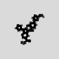 CC(=O)N1CCc2c(c(Nc3ccc(-c4cnc(C)o4)cc3F)nn2C2CCOC2)C1